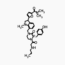 C=CCNCC(=O)N1CCN(Cc2cccc3c2N(C)CC3c2ccc(C(=O)N(C)C)o2)C(=O)[C@@H]1Cc1ccc(O)cc1